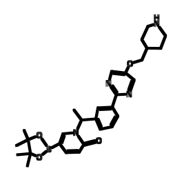 CC(c1cccc(-c2ncc(OCC3CCNCC3)cn2)c1)n1cc(B2OC(C)(C)C(C)(C)O2)ccc1=O